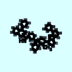 CC1c2c(n(-c3cccc(C(=N)N(Cc4ccccc4)/N=C/c4ccccc4)c3)c3ccccc23)C=CC1c1cccc2c1sc1c(-c3ccccc3)cccc12